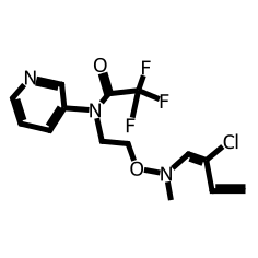 C=C/C(Cl)=C\N(C)OCCN(C(=O)C(F)(F)F)c1cccnc1